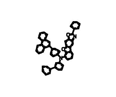 c1ccc(-c2cccc(N(c3ccc(-c4cc5ccccc5c5ccccc45)cc3)c3cccc4c3oc3cc5oc(-c6ccccc6)nc5cc34)c2)cc1